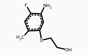 Cc1cc(F)c(N)cc1OCCO